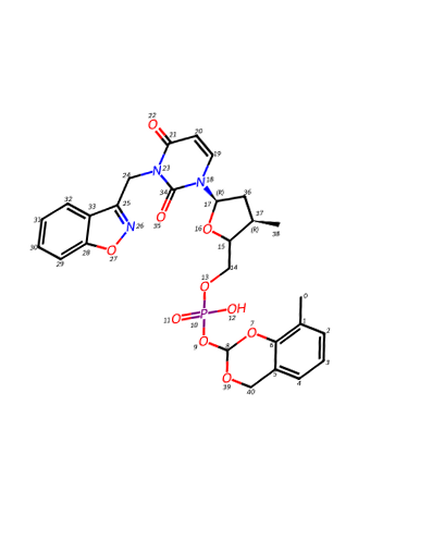 Cc1cccc2c1OC(OP(=O)(O)OCC1O[C@@H](n3ccc(=O)n(Cc4noc5ccccc45)c3=O)C[C@H]1C)OC2